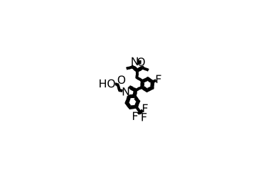 Cc1noc(C)c1Cc1cc(F)ccc1-c1cn(CC(=O)O)c2ccc(C(F)(F)F)cc12